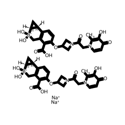 Cc1c(O)c(=O)ccn1CC(=O)N1CC(Oc2ccc3c(c2C(=O)O)C[B-](O)(O)[C@H]2C[C@@H]32)C1.Cc1c(O)c(=O)ccn1CC(=O)N1CC(Oc2ccc3c(c2C(=O)O)C[B-](O)(O)[C@H]2C[C@@H]32)C1.[Na+].[Na+]